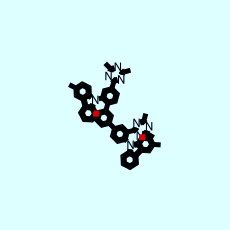 Cc1ccc2c(c1)c1ccccc1n2-c1cc(-c2nc(C)nc(C)n2)ccc1-c1cccc(-c2ccc(-n3c4ccccc4c4cc(C)ccc43)c(-c3nc(C)nc(C)n3)c2)c1